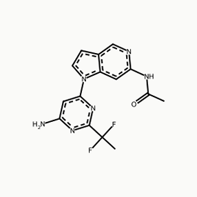 CC(=O)Nc1cc2c(ccn2-c2cc(N)nc(C(C)(F)F)n2)cn1